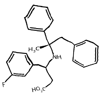 C[C@@](Cc1ccccc1)(NC(CC(=O)O)c1cccc(F)c1)c1ccccc1